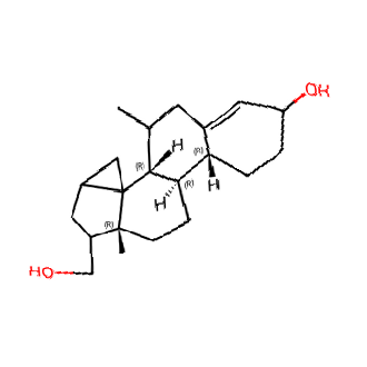 CC1CC2=CC(O)CC[C@@H]2[C@H]2CC[C@]3(C)C(CO)CC4CC43[C@H]12